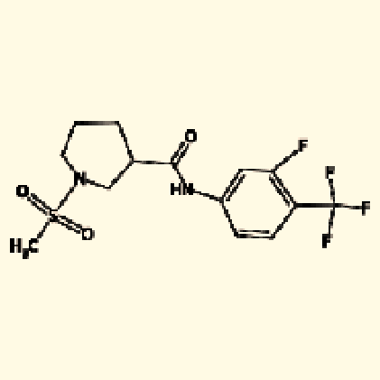 CS(=O)(=O)N1CCCC(C(=O)Nc2ccc(C(F)(F)F)c(F)c2)C1